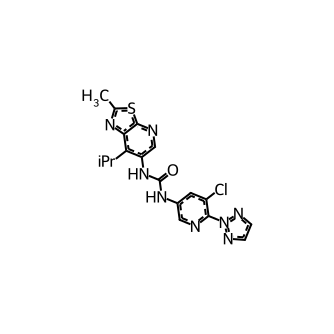 Cc1nc2c(C(C)C)c(NC(=O)Nc3cnc(-n4nccn4)c(Cl)c3)cnc2s1